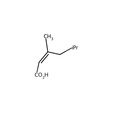 CC(=CC(=O)O)CC(C)C